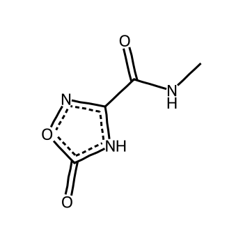 CNC(=O)c1noc(=O)[nH]1